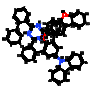 c1ccc(-c2ccccc2-c2nc(-c3ccc4c(c3)oc3ccccc34)nc(-c3ccccc3-c3cc(-n4c5ccccc5c5ccccc54)cc4c3oc3ccccc34)n2)cc1